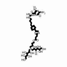 N=C(NCCCCc1ccc(-c2cnc(CCC(=O)OCCCCN(CC(O)C(O)C(O)C(O)CO)CC(O)C(O)C(O)C(O)CO)s2)cc1)NC(=O)c1nc(Cl)c(N)nc1N